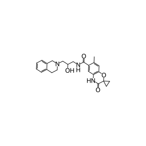 Cc1cc2c(cc1C(=O)NCC(O)CN1CCc3ccccc3C1)NC(=O)C1(CC1)O2